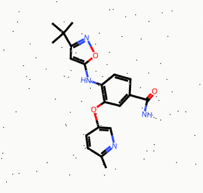 Cc1ccc(Oc2cc(C([NH])=O)ccc2Nc2cc(C(C)(C)C)no2)cn1